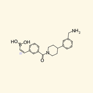 NCc1cccc(C2CCN(C(=O)c3cccc(/C=C\B(O)O)c3)CC2)c1